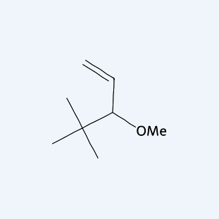 C=CC(OC)C(C)(C)C